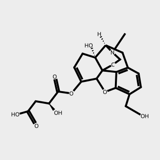 CN1CCC23c4c5ccc(CO)c4OC2C(OC(=O)[C@@H](O)CC(=O)O)=CC[C@@]3(O)[C@H]1C5